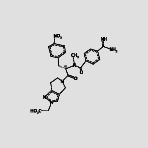 CN(C(=O)c1ccc(C(=N)N)cc1)[C@@H](Cc1ccc([N+](=O)[O-])cc1)C(=O)N1CCc2nn(CC(=O)O)cc2C1